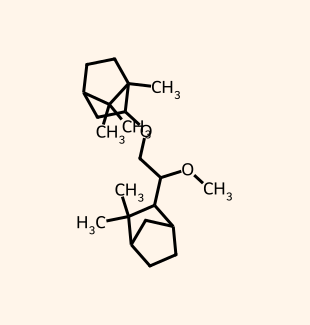 COC(COC1CC2CCC1(C)C2(C)C)C1C2CCC(C2)C1(C)C